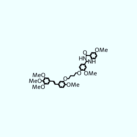 COc1ccc2c(c1)C(=O)NC(c1ccc(OCCCCOc3cc(C=Cc4cc(OC)c(OC)c(OC)c4)ccc3OC)c(OC)c1)N2